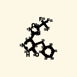 O=c1[nH]ncc(-c2noc(C(F)(F)F)n2)c1Cc1ccccc1